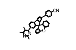 Cc1nc(C)c(C)c(-c2ccc3c(c2)C2(c4ccccc4Oc4ccccc42)c2cc(-c4ccc(C#N)cc4)ccc2-3)n1